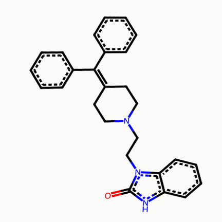 O=c1[nH]c2ccccc2n1CCN1CCC(=C(c2ccccc2)c2ccccc2)CC1